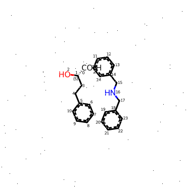 O=C(O)[C@@H](O)CCc1ccccc1.c1ccc(CNCc2ccccc2)cc1